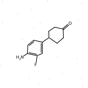 Nc1ccc(C2CCC(=O)CC2)cc1F